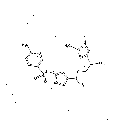 Cc1ccc(S(=O)(=O)Sn2cc(C(C)CCC(C)c3cc(C)[nH]n3)cn2)cc1